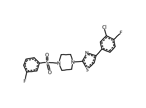 O=S(=O)(c1cccc(F)c1)N1CCN(c2nc(-c3ccc(F)c(Cl)c3)cs2)CC1